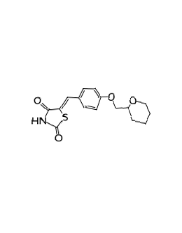 O=C1NC(=O)/C(=C/c2ccc(OCC3CCCCO3)cc2)S1